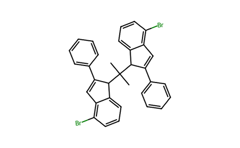 CC(C)(C1C(c2ccccc2)=Cc2c(Br)cccc21)C1C(c2ccccc2)=Cc2c(Br)cccc21